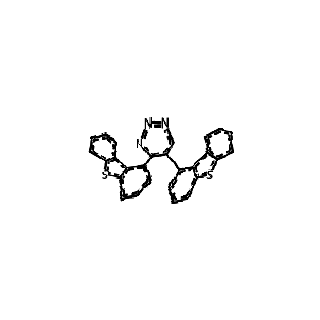 c1ccc2c(c1)sc1cccc(-c3cnnnc3-c3cccc4sc5ccccc5c34)c12